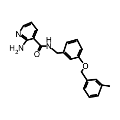 Cc1cccc(COc2cccc(CNC(=O)c3cccnc3N)c2)c1